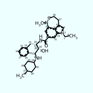 CCn1cc2c3c(cc(C(=O)N[C@@H](Cc4ccccc4)[C@H](O)CNC4CCC(C)CC4)cc31)N(C)SCC2